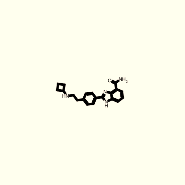 NC(=O)c1cccc2[nH]c(-c3ccc(CCNC4CCC4)cc3)nc12